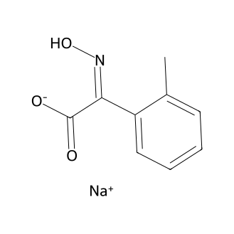 Cc1ccccc1C(=NO)C(=O)[O-].[Na+]